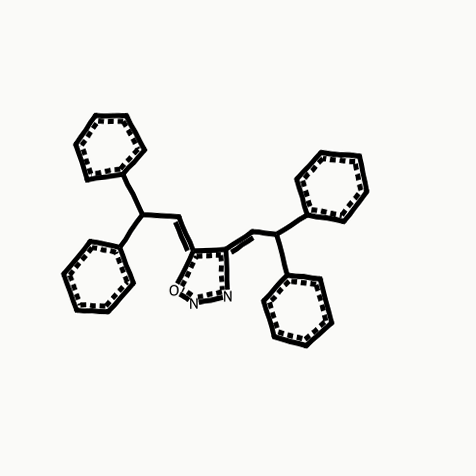 C(=c1nnoc1=CC(c1ccccc1)c1ccccc1)C(c1ccccc1)c1ccccc1